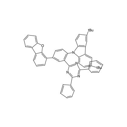 CC(C)(C)c1ccc2c(c1)c1cc(C(C)(C)C)ccc1n2-c1ccc(-c2cccc3c2oc2ccccc23)cc1-c1nc(-c2ccccc2)nc(-c2ccccc2)n1